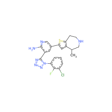 CC1CNCCc2sc(-c3cnc(N)c(-c4nnnn4-c4cccc(Cl)c4F)c3)cc21